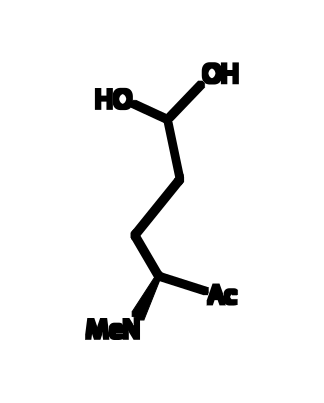 CN[C@@H](CCC(O)O)C(C)=O